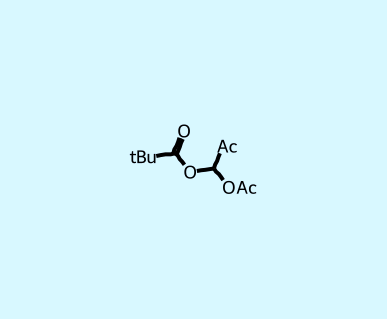 CC(=O)OC(OC(=O)C(C)(C)C)C(C)=O